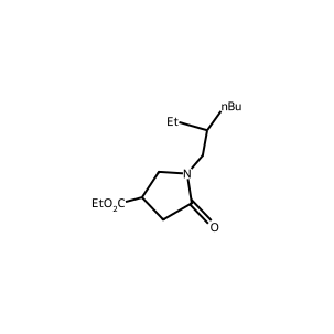 CCCCC(CC)CN1CC(C(=O)OCC)CC1=O